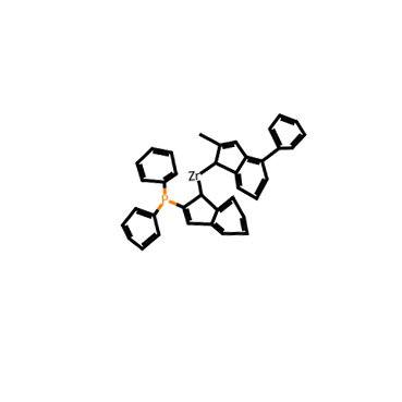 CC1=Cc2c(-c3ccccc3)cccc2[CH]1[Zr][CH]1C(P(c2ccccc2)c2ccccc2)=Cc2ccccc21